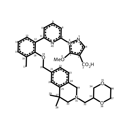 COc1c(C(=O)O)cnn1-c1cccc(-c2cccc(C)c2OCc2ccc3c(c2)C(C)(C)CN(CC2COCCO2)C3)n1